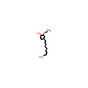 CC/C=C\CCCCC=Cc1ccc(O)c(OCC)c1